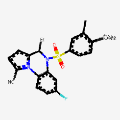 CCC1c2ccc(C#N)n2-c2ccc(F)cc2N1S(=O)(=O)c1ccc(OC)c(C)c1